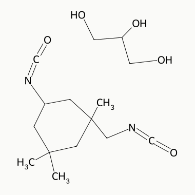 CC1(C)CC(N=C=O)CC(C)(CN=C=O)C1.OCC(O)CO